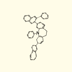 C1=CC(c2ccc3ccccc3c2)CC2=C1CCc1ccc(-c3cc4ccccc4cc3-c3ccccc3)cc1N2c1ccccc1